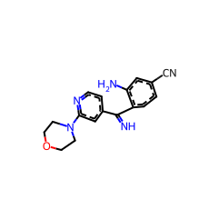 N#Cc1ccc(C(=N)c2ccnc(N3CCOCC3)c2)c(N)c1